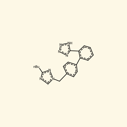 CCCCc1n[c]n(Cc2ccc(-c3ccccc3-c3nnn[nH]3)cc2)n1